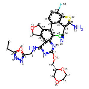 CCc1nnc(CNc2nc(OC[C@H]3COCCO3)nc3c(Cl)c(-c4ccc(F)c5sc(N)c(C#N)c45)c4c(c23)COC4)o1